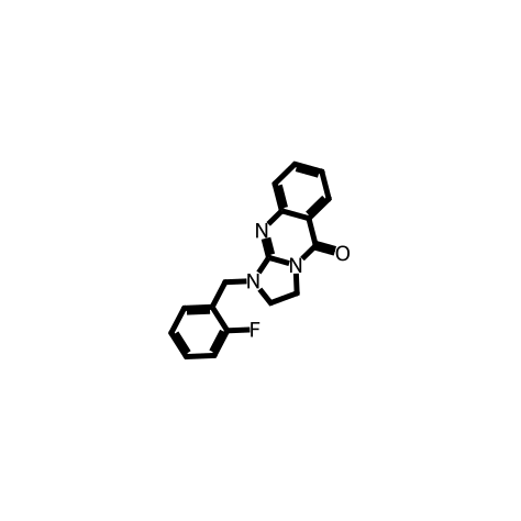 O=c1c2ccccc2nc2n1CCN2Cc1ccccc1F